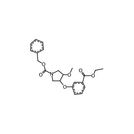 CCOC(=O)c1cccc(OC2CN(C(=O)OCc3ccccc3)CC2OC)c1